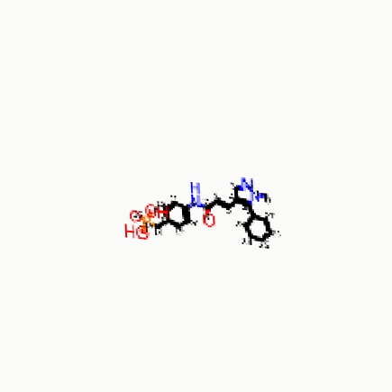 Cn1ncc(C=CC(=O)Nc2ccc(CP(=O)(O)O)cc2)c1C1CCCCC1